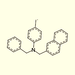 [CH2]c1ccc(N(Cc2ccccc2)Cc2ccc3ccccc3c2)cc1